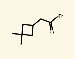 CC(C)C(=O)CC1CC(C)(C)C1